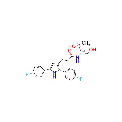 C[C@@H](O)[C@H](CO)NC(=O)CCc1cc(-c2ccc(F)cc2)[nH]c1-c1ccc(F)cc1